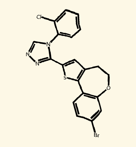 Clc1ccccc1-n1cnnc1-c1cc2c(s1)-c1ccc(Br)cc1OCC2